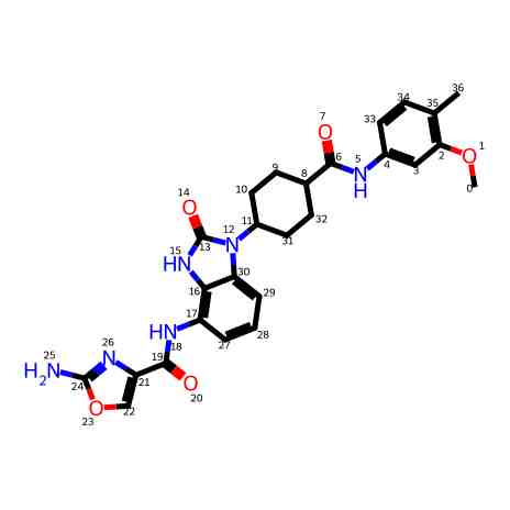 COc1cc(NC(=O)C2CCC(n3c(=O)[nH]c4c(NC(=O)c5coc(N)n5)cccc43)CC2)ccc1C